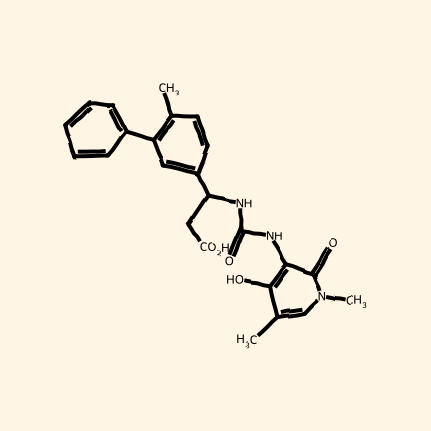 Cc1ccc(C(CC(=O)O)NC(=O)Nc2c(O)c(C)cn(C)c2=O)cc1-c1ccccc1